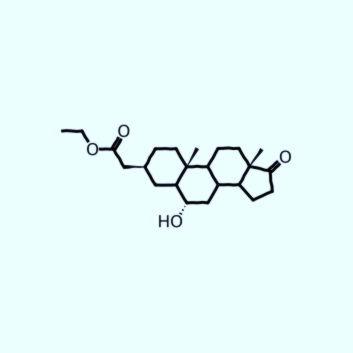 CCOC(=O)C[C@H]1CC[C@]2(C)C3CC[C@]4(C)C(=O)CCC4C3C[C@H](O)C2C1